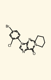 O=c1c2ncn(-c3ccc(Br)cc3Cl)c2nc2n1CCCC2